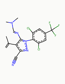 C=C(C)c1c(C#N)nn(-c2c(Cl)cc(C(F)(F)F)cc2Cl)c1N=CN(C)C